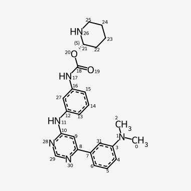 CN(C)c1cccc(-c2cc(Nc3cccc(NC(=O)O[C@H]4CCCCN4)c3)ncn2)c1